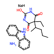 CCCC(C)C1(CC)C(=O)N=C(O)NC1=O.N.[NaH].c1ccc2c(c1)[nH]c1ccccc12